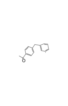 CC(=O)c1ccc(Cc2c[c]ccc2)cc1